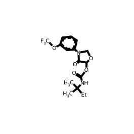 CCC(C)(C)NC(=O)OC1OCN(c2cccc(OC(F)(F)F)c2)C1=O